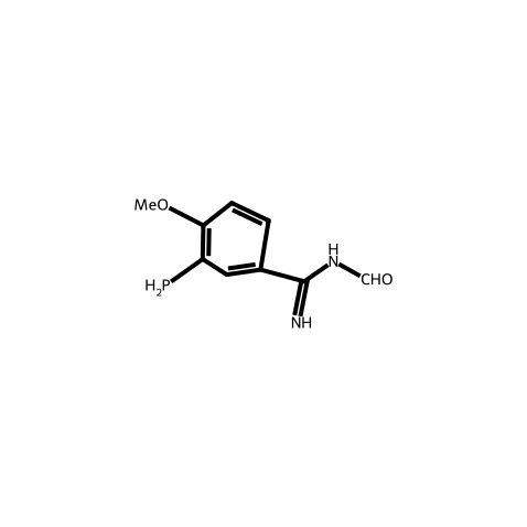 COc1ccc(C(=N)NC=O)cc1P